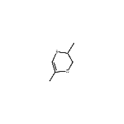 CC1=CSC(C)CO1